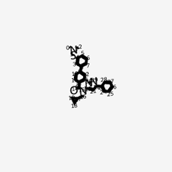 CN(C)Sc1cccc(-c2ccc3c(=O)n(CC4CC4)c4cc(-c5ccccc5)nn4c3c2)c1